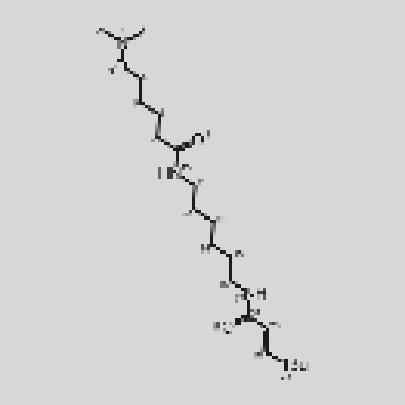 CN(C)OCCCCC(=O)NCCCCCCNC(=O)/C=C/C(C)(C)C